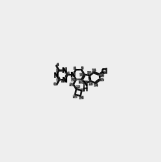 Cc1nc(C)nc(N2CCc3c([nH]c4ccc(Cl)cc34)C2CC2CCC2)n1